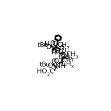 C/C(=C\[C@H](C(C)C)N(C)C(=O)C(NC(=O)[C@@H](N(C)C(=O)OC(C)(C)C)C(C)(C)c1ccccc1)C(C)(C)C)C(=O)N[C@@H](CC(=O)O)C(=O)OC(C)(C)C